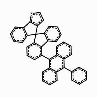 c1ccc(-c2c3ccccc3c(-c3cccc4c3-c3ccccc3C43c4ccccc4-c4sccc43)c3ccccc23)cc1